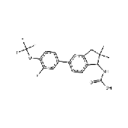 CC1(C)Cc2cc(-c3ccc(OC(F)(F)F)c(F)c3)ccc2C1NC(=O)O